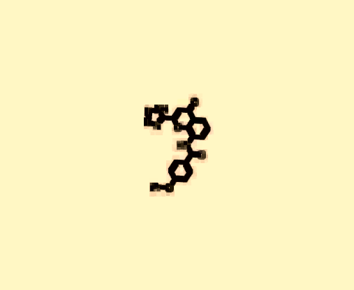 CC(C)Oc1ccc(C(=O)Nc2cccc3c(=O)cc(-c4nnn[nH]4)oc23)cc1